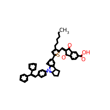 CCCCCCc1cc(-c2ccc3c(c2)C2CCCC2N3c2ccc(C=C(c3ccccc3)c3ccccc3)cc2)sc1/C=C1\C(=O)c2ccc(C(=O)O)cc2C1=O